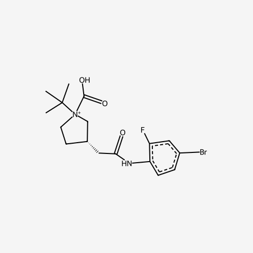 CC(C)(C)[N+]1(C(=O)O)CC[C@@H](CC(=O)Nc2ccc(Br)cc2F)C1